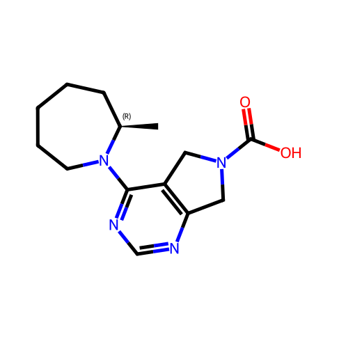 C[C@@H]1CCCCCN1c1ncnc2c1CN(C(=O)O)C2